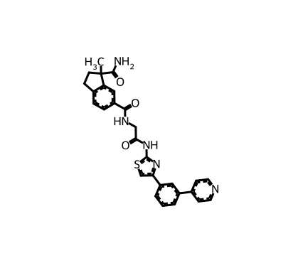 CC1(C(N)=O)CCc2ccc(C(=O)NCC(=O)Nc3nc(-c4cccc(-c5ccncc5)c4)cs3)cc21